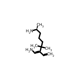 C=C/C(=C/N)C(C)(C)CCC[C@H](C)N